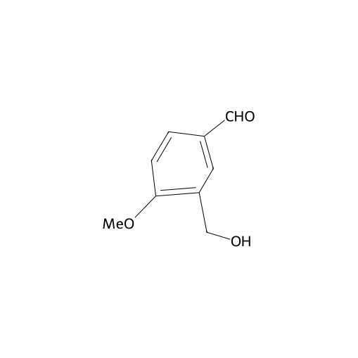 COc1ccc(C=O)cc1CO